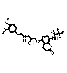 COc1ccc(CCNCC(O)COc2ccc(NC(=O)C(F)(F)F)c3c2CCC(=O)N3)cc1OC